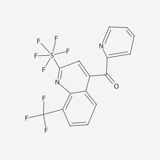 O=C(c1ccccn1)c1cc(S(F)(F)(F)(F)F)nc2c(C(F)(F)F)cccc12